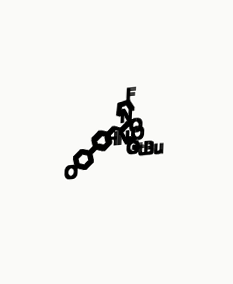 CC(C)(C)OC(=O)N[C@@H](Cc1ccc(C2CCC(=O)CC2)cc1)C(=O)N1CC[C@H](F)C1